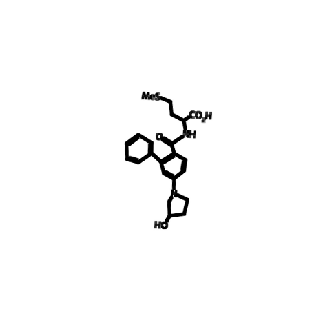 CSCCC(NC(=O)c1ccc(N2CCC(O)C2)cc1-c1ccccc1)C(=O)O